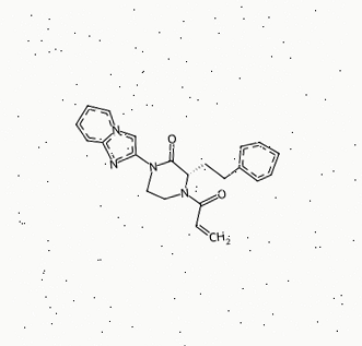 C=CC(=O)N1CCN(c2cn3ccccc3n2)C(=O)[C@@H]1CCc1ccccc1